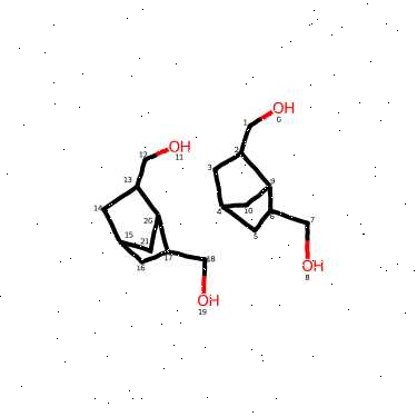 OCC1CC2CC(CO)C1C2.OCC1CC2CC(CO)C1C2